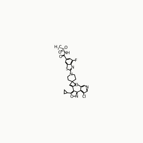 CS(=O)(=O)NC(=O)c1cc(F)c2nc(N3CCC4(C=C(c5c(-c6c(Cl)cncc6Cl)noc5C5CC5)C4)CC3)sc2c1